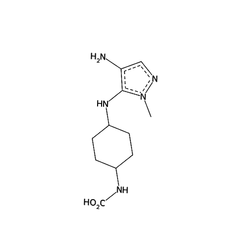 Cn1ncc(N)c1NC1CCC(NC(=O)O)CC1